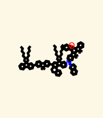 CCCCCCCC1(CCCCCCC)c2ccccc2-c2ccc(-c3ccc4c(c3)C(C)(C)c3cc(-c5cc6c(c7c5CCc5ccccc5-7)-c5ccc(N(c7ccc8c(c7)C(C)(C)c7c9c(c%10oc%11ccccc%11c%10c7-8)-c7ccccc7C9(C)C)c7ccc8ccccc8c7)cc5C6(CCCCCCC)CCCCCCC)ccc3-4)cc21